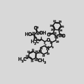 C=CCOC(CN1CCN(c2ccc(C)cc2C)CC1)CN1C(=O)c2ccccc2C1=O.O=C(O)C(=O)O